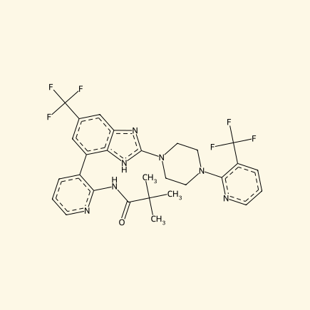 CC(C)(C)C(=O)Nc1ncccc1-c1cc(C(F)(F)F)cc2nc(N3CCN(c4ncccc4C(F)(F)F)CC3)[nH]c12